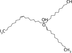 CCCCCCCC/C=C\CCCCCCCC(O)(CCCCCCCCCCCC)OC=CCCCCCCCCCC